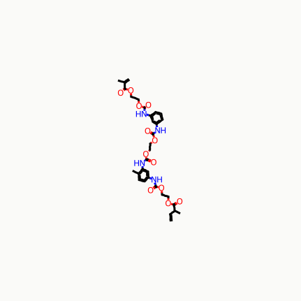 C=CC(C)C(=O)OCCOC(=O)Nc1ccc(C)c(NC(=O)OCCOC(=O)Nc2cccc(NC(=O)OCCOC(=O)C(=C)C)c2)c1